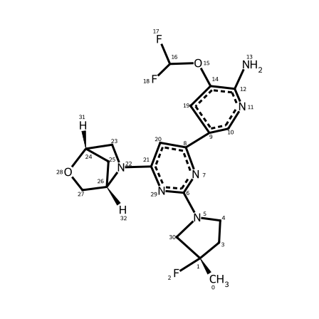 C[C@]1(F)CCN(c2nc(-c3cnc(N)c(OC(F)F)c3)cc(N3C[C@@H]4C[C@H]3CO4)n2)C1